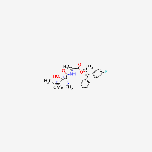 C=N/C(C(=O)N[C@@H](C)C(=O)O[C@@H](C)[C@H](c1ccccc1)c1ccc(F)cc1)=C(O)\C(=C/C)OC